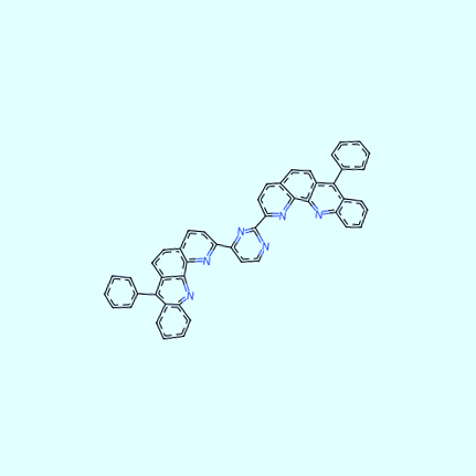 c1ccc(-c2c3ccccc3nc3c2ccc2ccc(-c4ccnc(-c5ccc6ccc7c(-c8ccccc8)c8ccccc8nc7c6n5)n4)nc23)cc1